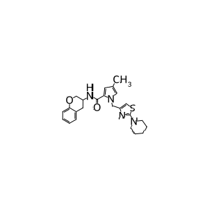 Cc1cc(C(=O)NC2COc3ccccc3C2)n(Cc2csc(N3CCCCC3)n2)c1